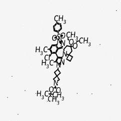 CCOC1(OCC)CCN(c2nn(C3CC4(C3)CN(C(=O)OC(C)(C)C)C4)c(C)c2-c2c(Cl)c(C)cc3c2cnn3S(=O)(=O)c2ccc(C)cc2)C2(CCC2)C1